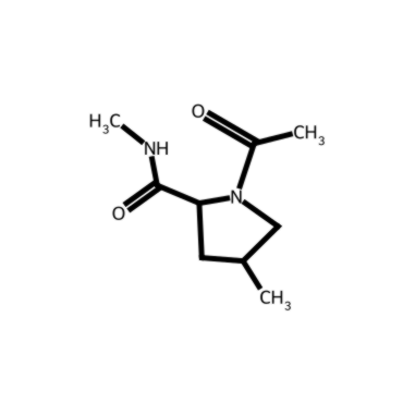 CNC(=O)C1CC(C)CN1C(C)=O